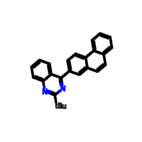 CC(C)(C)c1nc(-c2ccc3c(ccc4ccccc43)c2)c2ccccc2n1